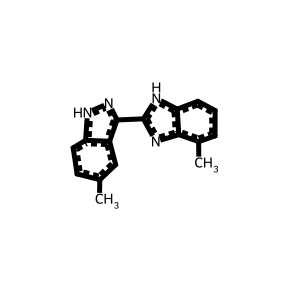 Cc1ccc2[nH]nc(-c3nc4c(C)cccc4[nH]3)c2c1